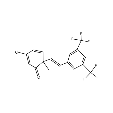 CC1(/C=C/c2cc(C(F)(F)F)cc(C(F)(F)F)c2)C=CC(Cl)=CC1=O